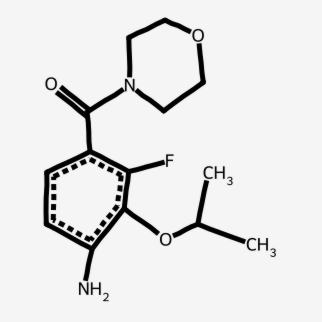 CC(C)Oc1c(N)ccc(C(=O)N2CCOCC2)c1F